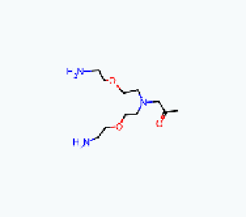 CC(=O)CN(CCOCCN)CCOCCN